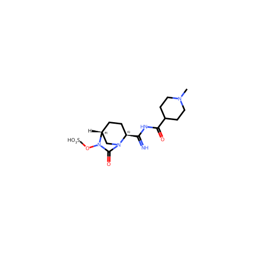 CN1CCC(C(=O)NC(=N)[C@@H]2CC[C@@H]3CN2C(=O)N3OS(=O)(=O)O)CC1